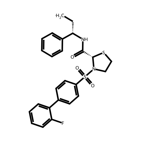 [CH2]C[C@H](NC(=O)[C@@H]1SCCN1S(=O)(=O)c1ccc(-c2ccccc2F)cc1)c1ccccc1